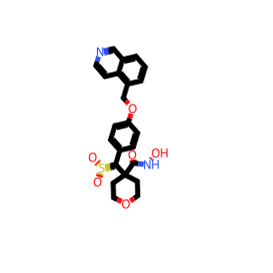 O=C(NO)C1(C(c2ccc(OCc3cccc4cnccc34)cc2)=S(=O)=O)CCOCC1